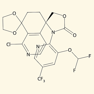 O=C1OC[C@@]2(CCC3(OCCO3)c3c2ccnc3Cl)N1c1ncc(C(F)(F)F)cc1OC(F)F